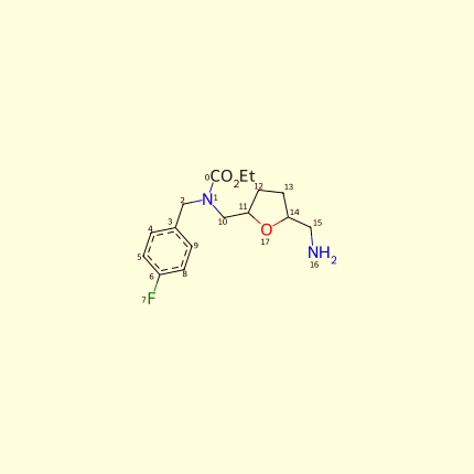 CCOC(=O)N(Cc1ccc(F)cc1)CC1CCC(CN)O1